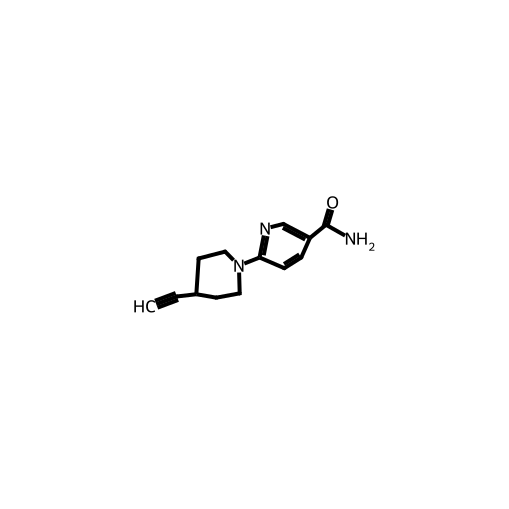 C#CC1CCN(c2ccc(C(N)=O)cn2)CC1